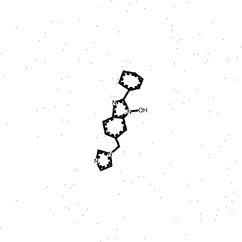 On1c(-c2ccccc2)nc2ccc(Cn3ccnc3)cc21